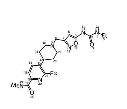 CCNC(=O)Nc1cc(CN2CCC(c3ccc(C(=O)NC)nc3F)CC2)no1